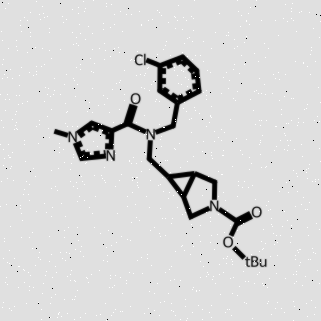 Cn1cnc(C(=O)N(Cc2cccc(Cl)c2)CC2C3CN(C(=O)OC(C)(C)C)CC32)c1